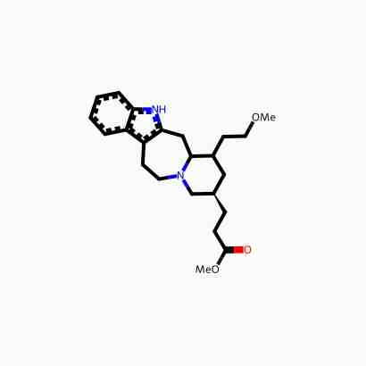 COCCC1C[C@@H](CCC(=O)OC)CN2CCc3c([nH]c4ccccc34)CC12